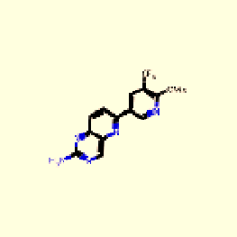 COc1ncc(-c2ccc3nc(N)ncc3n2)cc1C(F)(F)F